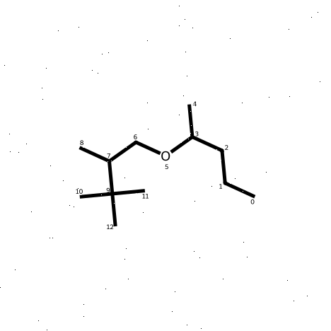 CCCC(C)OCC(C)C(C)(C)C